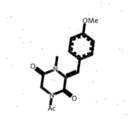 COc1ccc(/C=C2/C(=O)N(C(C)=O)CC(=O)N2C)cc1